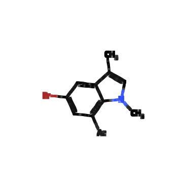 CC(=O)c1cc(Br)cc2c(C)cn(C)c12